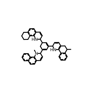 CC1CC2=C(NC(C3=CC(C4C=Cc5ccc6c(c5N4)CCCC6)CC(C4C=Cc5ccc6ccccc6c5N4C)=C3)C=C2)c2ccccc21